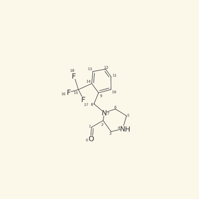 O=CC1CNCCN1Cc1ccccc1C(F)(F)F